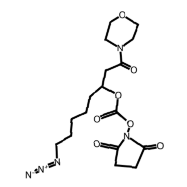 [N-]=[N+]=NCCCCCC(CC(=O)N1CCOCC1)OC(=O)ON1C(=O)CCC1=O